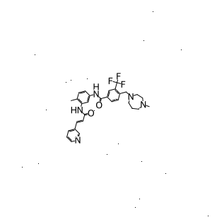 Cc1ccc(NC(=O)c2ccc(CN3CCCN(C)CC3)c(C(F)(F)F)c2)cc1NC(=O)/C=C/c1cccnc1